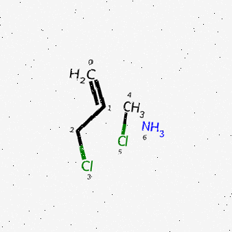 C=CCCl.CCl.N